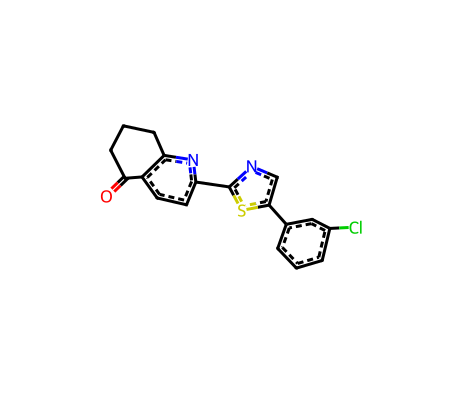 O=C1CCCc2nc(-c3ncc(-c4cccc(Cl)c4)s3)ccc21